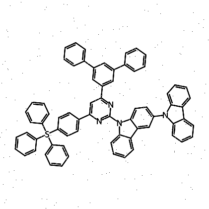 c1ccc(-c2cc(-c3ccccc3)cc(-c3cc(-c4ccc(S(c5ccccc5)(c5ccccc5)c5ccccc5)cc4)nc(-n4c5ccccc5c5cc(-n6c7ccccc7c7ccccc76)ccc54)n3)c2)cc1